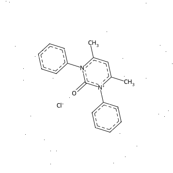 Cc1cc(C)[n+](-c2ccccc2)c(=O)n1-c1ccccc1.[Cl-]